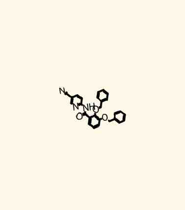 N#Cc1ccc(NC(=O)c2cccc(OCc3ccccc3)c2OCc2ccccc2)nc1